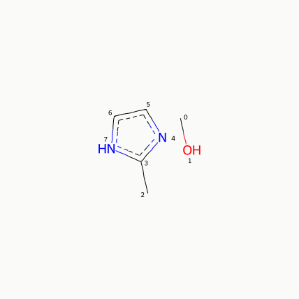 CO.Cc1ncc[nH]1